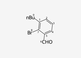 CCCCc1cccc(C=O)c1Br